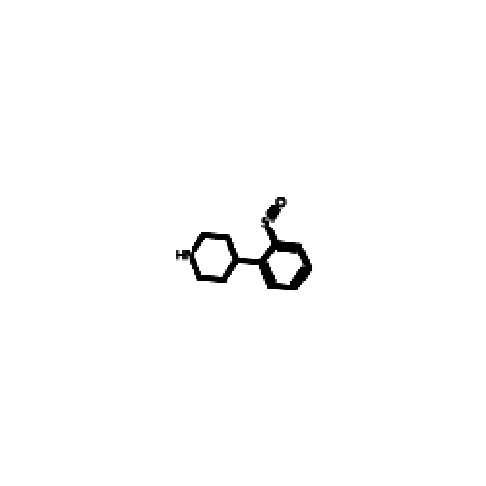 O=[S+]c1ccccc1C1CCNCC1